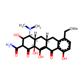 COCc1ccc(O)c2c1C[C@H]1C[C@H]3[C@@H](N(C)C)C(O)C(C(N)=O)C(=O)[C@@]3(O)C(O)=C1C2=O